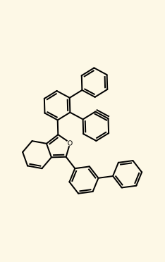 c1cccc(-c2c(-c3ccccc3)cccc2-c2oc(-c3cccc(-c4ccccc4)c3)c3c2CCC=C3)c#1